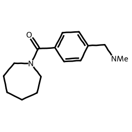 CNCc1ccc(C(=O)N2CCCCCC2)cc1